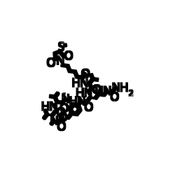 CSC1CC(=O)N(CCCCCC(=O)NC(C(=O)N[C@@H](CCCNC(N)=O)C(=O)Nc2ccc(COC(=O)N(C)[C@H](C(=O)N[C@H](C(=O)N(C)C)C(C)C)C(C)C)cc2)C(C)C)C1=O